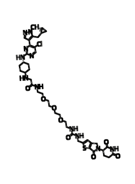 Cn1ncc(-c2nc(N[C@H]3CC[C@H](NCC(=O)NCCOCCOCCOCCNC(=O)NCc4cc5c(s4)C(=O)N(C4CCC(=O)NC4=O)C5)CC3)ncc2Cl)c1CC1CC1